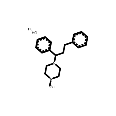 CCCCN1CCN(C(CCc2ccccc2)c2ccccc2)CC1.Cl.Cl